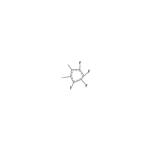 [CH2]c1c(C)c(F)c(F)c(F)c1F